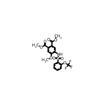 COC(=O)c1cc(NS(=O)(=O)c2ccccc2OC(F)(F)F)c(OC)cc1C(=O)OC